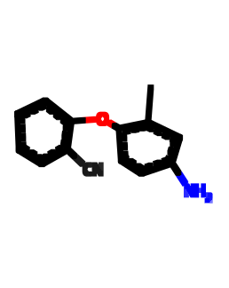 Cc1cc(N)ccc1Oc1ccccc1C#N